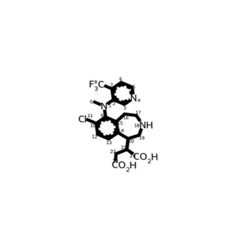 CN(c1cnccc1C(F)(F)F)c1c(Cl)ccc2c1CCNCC2C(CC(=O)O)C(=O)O